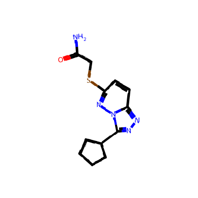 NC(=O)CSc1ccc2nnc(C3CCCC3)n2n1